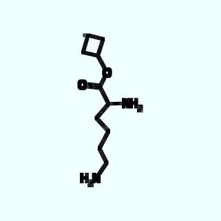 NCCCCC(N)C(=O)OC1C[CH]C1